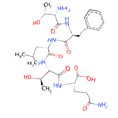 CC(C)C[C@H](NC(=O)[C@H](Cc1ccccc1)NC(=O)[C@@H](N)[C@@H](C)O)C(=O)N[C@H](C(=O)N[C@@H](CCC(N)=O)C(=O)O)[C@@H](C)O